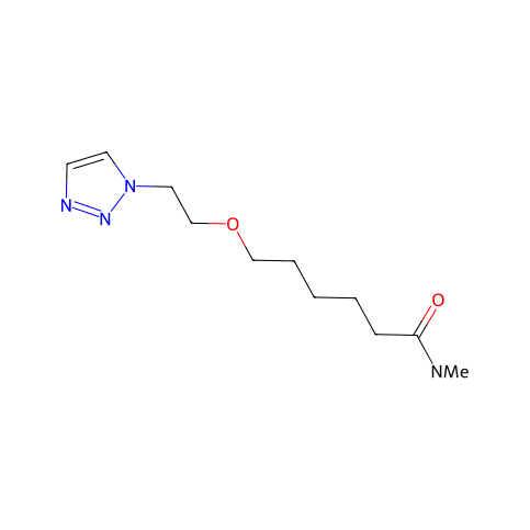 CNC(=O)CCCCCOCCn1ccnn1